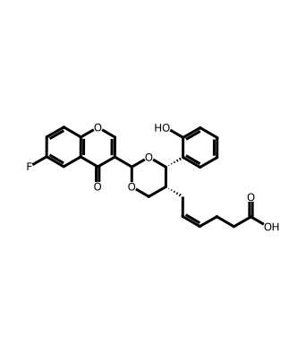 O=C(O)CC/C=C\C[C@@H]1COC(c2coc3ccc(F)cc3c2=O)O[C@@H]1c1ccccc1O